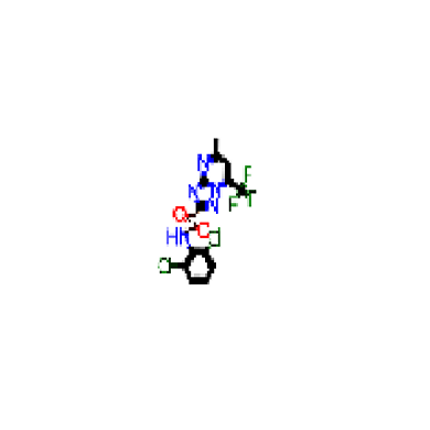 Cc1cc(C(F)(F)F)n2nc(S(=O)(=O)Nc3c(Cl)cccc3Cl)nc2n1